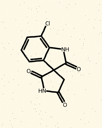 O=C1CC2(C(=O)N1)C(=O)Nc1c(Cl)cccc12